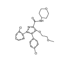 COCCOc1c(C(=O)NC2CCOCC2)nn(-c2ccccc2Cl)c1-c1ccc(Cl)cc1